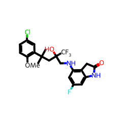 COc1ccc(Cl)cc1C(C)(C)CC(O)(CNc1cc(F)cc2c1CC(=O)N2)C(F)(F)F